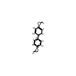 COC1=CCC(c2ccc(OC)cc2)C=C1